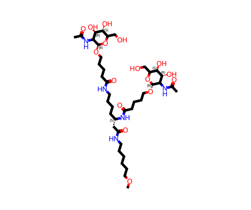 COCCCCCCNC(=O)C[C@H](CCCCNC(=O)CCCCO[C@@H]1OC(CO)[C@@H](O)[C@H](O)C1NC(C)=O)NC(=O)CCCCO[C@@H]1OC(CO)[C@@H](O)[C@H](O)C1NC(C)=O